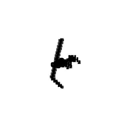 CCCCCCCC/C=C\CCCCCCCC(=O)N(CCCCCCCCCCCCCCCC)C(=O)C(N)C(N)C(=O)[C@H](N)CCCNC(=N)N